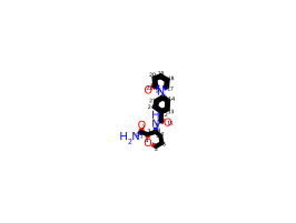 NC(=O)C1OCC[C]C1NC(=O)c1ccc(-n2ccccc2=O)cc1